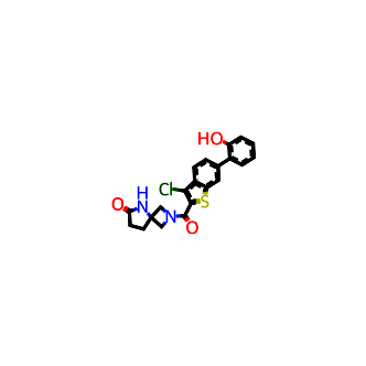 O=C1CCC2(CN(C(=O)c3sc4cc(-c5ccccc5O)ccc4c3Cl)C2)N1